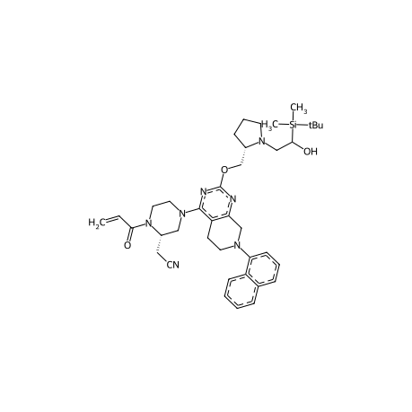 C=CC(=O)N1CCN(c2nc(OC[C@@H]3CCCN3CC(O)[Si](C)(C)C(C)(C)C)nc3c2CCN(c2cccc4ccccc24)C3)C[C@@H]1CC#N